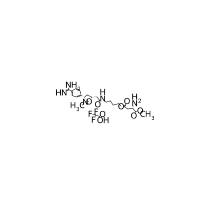 COC(=O)[C@@H](N)CC(=O)OCCCCNC(=O)C[C@H]1C[C@@H](c2ccc(C(=N)N)cc2)N(C)O1.O=C(O)C(F)(F)F